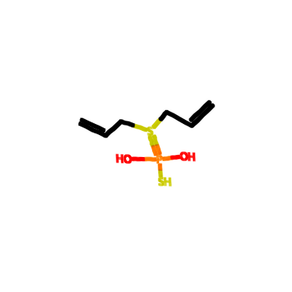 C=CCS(CC=C)=P(O)(O)S